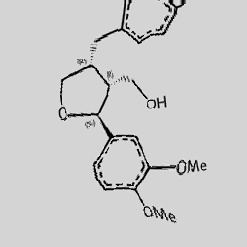 COc1ccc([C@H]2OC[C@H](Cc3ccc(C)cc3)[C@@H]2CO)cc1OC